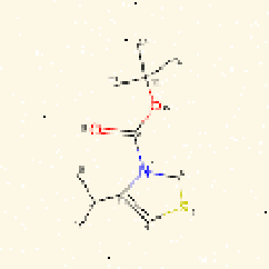 CC(C)C1=CSCN1C(=O)OC(C)(C)C